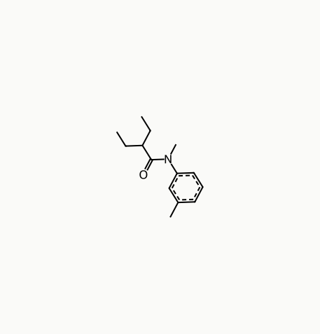 CCC(CC)C(=O)N(C)c1cccc(C)c1